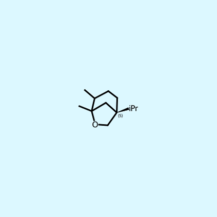 CC1CC[C@]2(C(C)C)COC1(C)C2